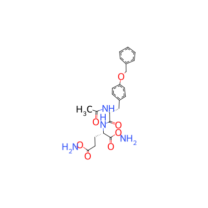 CC(=O)N[C@H](Cc1ccc(OCc2ccccc2)cc1)C(=O)N[C@@H](CCC(=O)ON)C(=O)ON